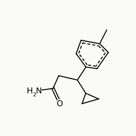 Cc1ccc(C(CC(N)=O)C2CC2)cc1